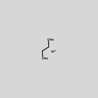 COCCOC.[Ni+2]